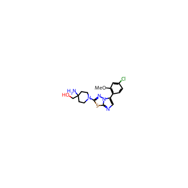 COc1cc(Cl)ccc1-c1cnc2sc(N3CCC(N)(CO)CC3)nn12